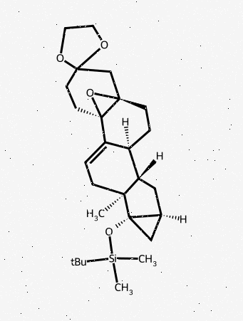 CC(C)(C)[Si](C)(C)O[C@@]12C[C@@H]1C[C@H]1[C@@H]3CC[C@@]45CC6(CC[C@@]4(O5)C3=CC[C@@]12C)OCCO6